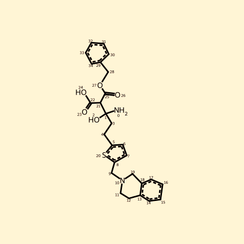 NC(O)(CCc1ccc(CN2CCc3ccccc3C2)s1)C(C(=O)O)C(=O)OCc1ccccc1